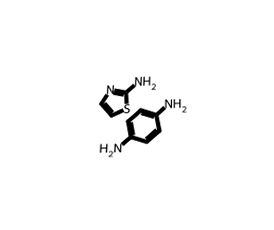 Nc1ccc(N)cc1.Nc1nccs1